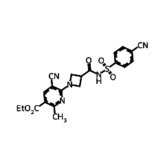 CCOC(=O)c1cc(C#N)c(N2CC(C(=O)NS(=O)(=O)c3ccc(C#N)cc3)C2)nc1C